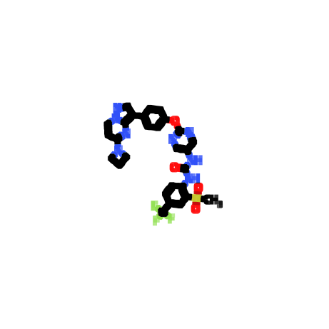 CS(=O)(=O)c1cc(C(F)(F)F)ccc1NC(=O)Nc1cnc(Oc2ccc(-c3cnn4ccc(N5CCC5)nc34)cc2)nc1